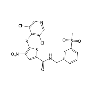 CS(=O)(=O)c1cccc(CNC(=O)c2cc([N+](=O)[O-])c(Sc3c(Cl)cncc3Cl)s2)c1